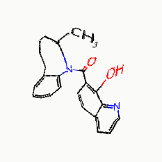 CC1CCc2ccccc2N1C(=O)c1ccc2cccnc2c1O